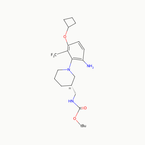 CC(C)(C)OC(=O)NC[C@@H]1CCCN(c2c(N)ccc(OC3CCC3)c2C(F)(F)F)C1